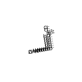 [Al+3].[Al+3].[Al+3].[Al+3].[Cl-].[Cl-].[Cl-].[OH-].[OH-].[OH-].[OH-].[OH-].[OH-].[OH-].[OH-].[OH-].[OH-].[OH-].[OH-].[OH-].[Zr+4]